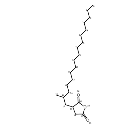 CCCCCCCCCCCCCCCC(C)CC1CC(=O)OC1=O